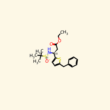 CCOC(=O)C[C@H](N[S@+]([O-])C(C)(C)C)c1ccc(Cc2ccccc2)s1